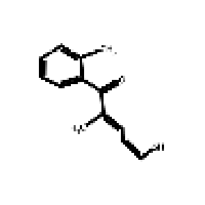 C/C(=C\C=C/S)C(=O)c1ccccc1C